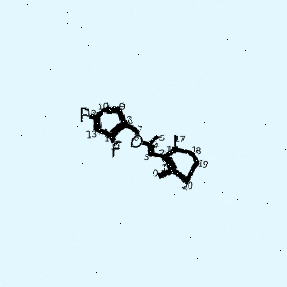 CC1=C(/C=C(\C)OCc2ccc(F)cc2F)C(I)CCC1